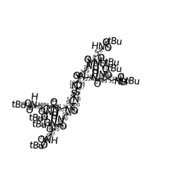 CC(C)(C)OC(=O)NCCCC[C@H](NC(=O)OC(C)(C)C)C(=O)NCCCN(CCCNC(=O)[C@H](CCCCNC(=O)OC(C)(C)C)NC(=O)OC(C)(C)C)C(=O)c1ccc(SSc2ccc(C(=O)N(CCCNC(=O)[C@H](CCCCNC(=O)OC(C)(C)C)NC(=O)OC(C)(C)C)CCCNC(=O)[C@H](CCCCNC(=O)OC(C)(C)C)NC(=O)OC(C)(C)C)cn2)nc1